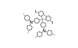 Cc1ccc(N(c2ccc(C)cc2)c2ccc(C3(c4ccc(N(c5ccc(C)cc5)c5ccc(C)cc5)cc4)c4cc(I)ccc4-c4ccc(I)cc43)cc2)cc1